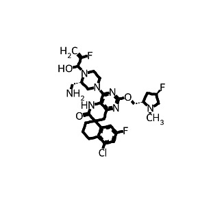 C=C(F)C(O)N1CCN(c2nc(OC[C@@H]3C[C@@H](F)CN3C)nc3c2NC(=O)C2(CCCc4c(Cl)cc(F)cc42)C3)C[C@@H]1CN